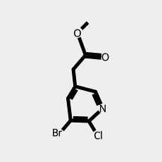 COC(=O)Cc1cnc(Cl)c(Br)c1